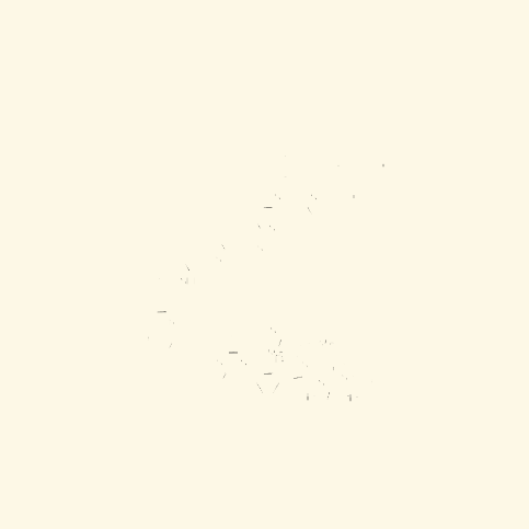 CC[C@H](C)[C@@H]([C@@H](CC(=O)N1CCC[C@H]1[C@H](OC)[C@@H](C)C(=O)N[C@@H](Cc1ccccc1)C(=O)NCCCOC(=O)C(C)NC(=O)CCC(NC(=O)CCNC(=O)OCC(N)C(=O)NC(CCC(=O)NC[C@H](O)[C@@H](O)[C@@H](O)[C@H](O)CO)C(=O)NC[C@H](O)[C@@H](O)[C@@H](O)[C@H](O)CO)C(=O)O)OC)N(C)C(=O)C(NC(=O)[C@H](C(C)C)N(C)C)C(C)C